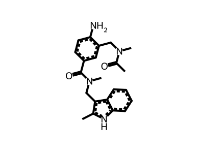 CC(=O)N(C)Cc1cc(C(=O)N(C)Cc2c(C)[nH]c3ccccc23)ccc1N